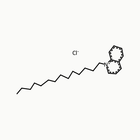 CCCCCCCCCCCCCC[n+]1cccc2ccccc21.[Cl-]